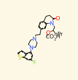 CCCC(CN1C(=O)CCc2ccc(CCN3CCN(c4cc(F)cc5sccc45)CC3)cc21)OC(=O)O